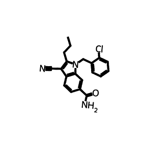 CCCc1c(C#N)c2ccc(C(N)=O)cc2n1Cc1ccccc1Cl